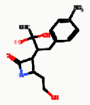 O=CC(O)(O)C(Cc1ccc([N+](=O)[O-])cc1)C1C(=O)NC1CCO